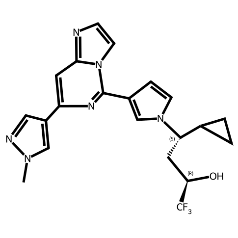 Cn1cc(-c2cc3nccn3c(-c3ccn([C@@H](C[C@@H](O)C(F)(F)F)C4CC4)c3)n2)cn1